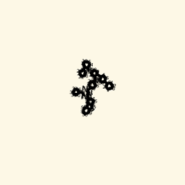 c1ccc(-c2ccc3c4ccc(-n5c6ccccc6c6ccccc65)cc4n(-c4ccc(-c5nc(-c6ccccc6)nc(-c6ccc7sc8ccccc8c7c6)n5)cc4)c3c2)cc1